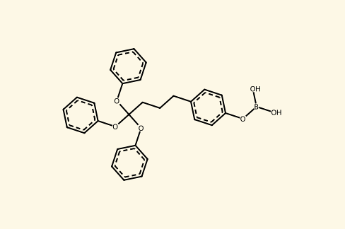 OB(O)Oc1ccc(CCCC(Oc2ccccc2)(Oc2ccccc2)Oc2ccccc2)cc1